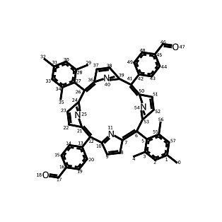 Cc1cc(C)c(C2=C3C=CC(=N3)C(c3ccc(C=O)cc3)=C3C=CC(=N3)C(c3c(C)cc(C)cc3C)=C3C=CC(=N3)C(c3ccc(C=O)cc3)=C3C=CC2=N3)c(C)c1